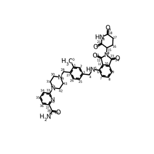 Cc1cc(CNc2cccc3c2C(=O)N(C2CCC(=O)NC2=O)C3=O)ccc1CN1CCN(c2cccc(C(N)=O)n2)CC1